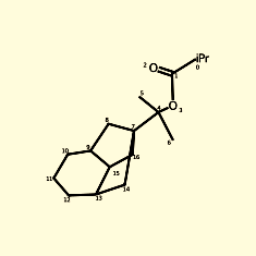 CC(C)C(=O)OC(C)(C)C12CC3CCCC(C1)C3C2